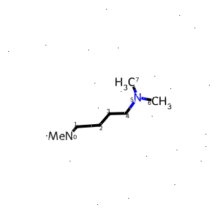 C[N]CCCCN(C)C